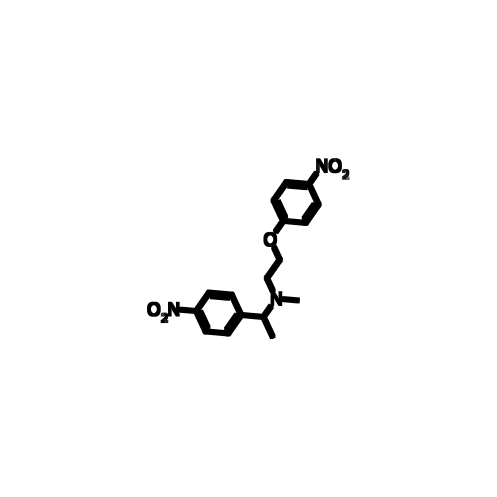 CC(c1ccc([N+](=O)[O-])cc1)N(C)CCOc1ccc([N+](=O)[O-])cc1